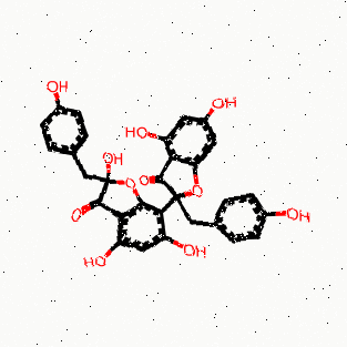 O=C1c2c(O)cc(O)c(C3(Cc4ccc(O)cc4)Oc4cc(O)cc(O)c4C3=O)c2OC1(O)Cc1ccc(O)cc1